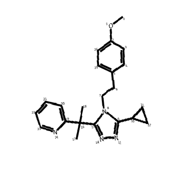 COc1ccc(CCn2c(C3CC3)nnc2C(C)(C)c2ccccn2)cc1